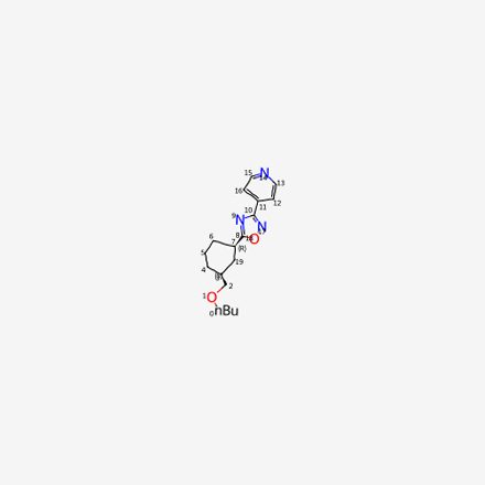 CCCCOC[C@H]1CCC[C@@H](c2nc(-c3ccncc3)no2)C1